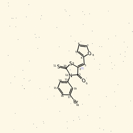 O=C1/C(=C/c2ccco2)SC(=S)N1c1cccc(Br)c1